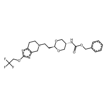 O=C(N[C@H]1CO[C@H](CCN2CCc3sc(OCC(F)(F)F)nc3C2)OC1)OCc1ccccc1